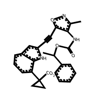 Cc1noc(C#Cc2cc3cccc(C4(C(=O)O)CC4)c3[nH]2)c1NC(=O)OC(C)c1ccccc1